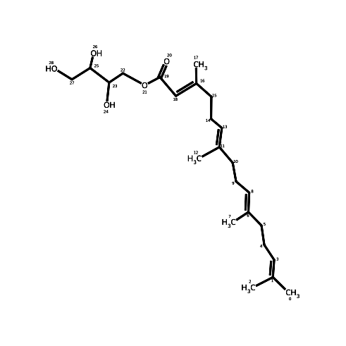 CC(C)=CCC/C(C)=C/CC/C(C)=C/CCC(C)=CC(=O)OCC(O)C(O)CO